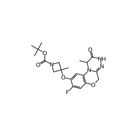 CC1C(=O)NN=C2COc3cc(F)c(OC4(C)CN(C(=O)OC(C)(C)C)C4)cc3N21